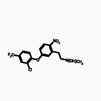 CN(O)CCc1cc(Oc2ccc(C(F)(F)F)cc2Cl)ccc1[N+](=O)[O-]